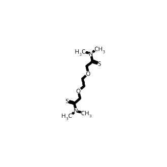 CN(C)C(=S)COCCOCC(=S)N(C)C